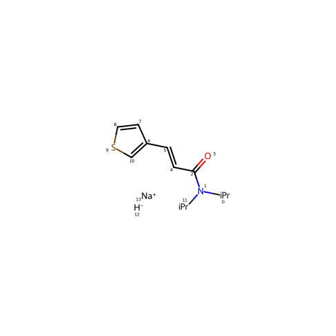 CC(C)N(C(=O)C=Cc1ccsc1)C(C)C.[H-].[Na+]